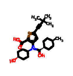 CC(C)(C)C#Cc1cc(N(C(O)[C@H]2CC[C@H](C)CC2)[C@H]2CC[C@H](O)CC2)c(C(=O)O)s1